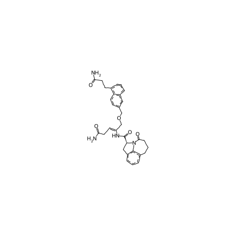 NC(=O)C/C=C(/COCc1ccc2c(CCC(N)=O)cccc2c1)NC(=O)[C@@H]1Cc2cccc3c2N1C(=O)CCC3